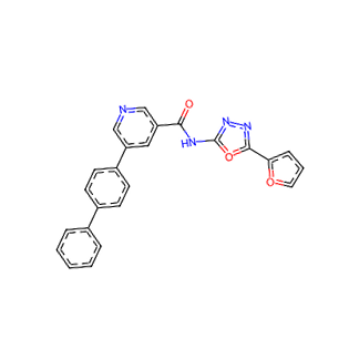 O=C(Nc1nnc(-c2ccco2)o1)c1cncc(-c2ccc(-c3ccccc3)cc2)c1